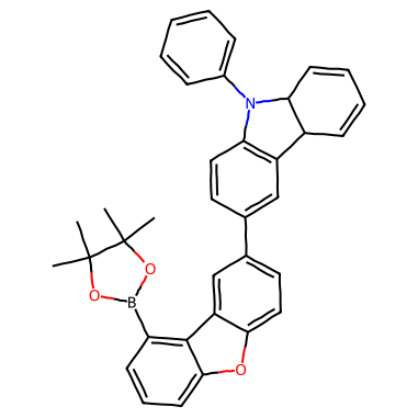 CC1(C)OB(c2cccc3oc4ccc(-c5ccc6c(c5)C5C=CC=CC5N6c5ccccc5)cc4c23)OC1(C)C